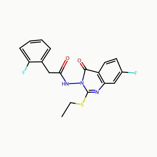 CCSc1nc2cc(F)ccc2c(=O)n1NC(=O)Cc1ccccc1F